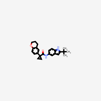 CC(C)(C)c1cc2cc(NC(=O)C3(c4ccc5c(c4)CCCO5)CC3)ccc2[nH]1